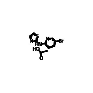 Brc1ccc(Nc2nccs2)nc1.CC(=O)O